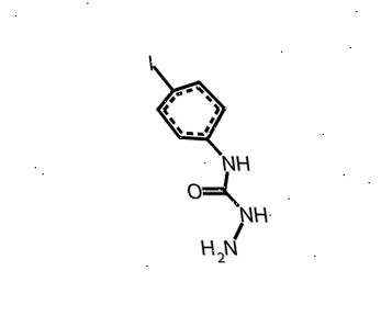 NNC(=O)Nc1ccc(I)cc1